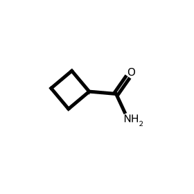 NC(=O)[C]1CCC1